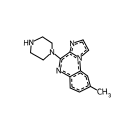 Cc1ccc2nc(N3CCNCC3)c3nccn3c2c1